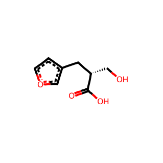 O=C(O)[C@@H](CO)Cc1ccoc1